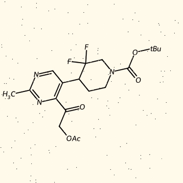 CC(=O)OCC(=O)c1nc(C)ncc1C1CCN(C(=O)OC(C)(C)C)CC1(F)F